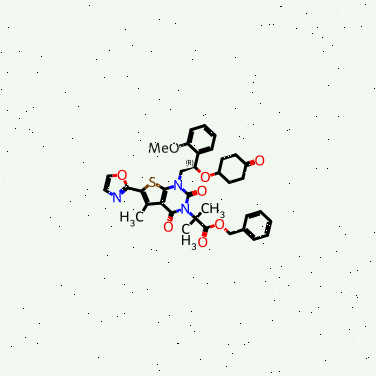 COc1ccccc1[C@H](Cn1c(=O)n(C(C)(C)C(=O)OCc2ccccc2)c(=O)c2c(C)c(-c3ncco3)sc21)OC1CCC(=O)CC1